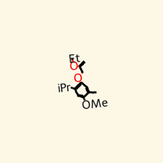 C=C(COc1cc(C)c(OC)cc1C(C)C)OCC